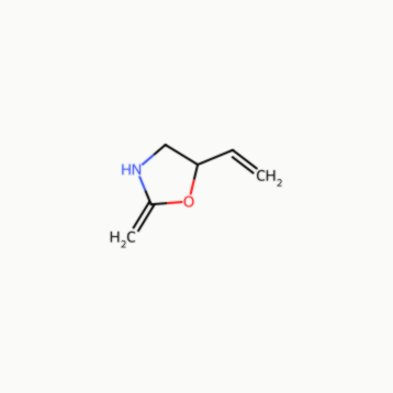 C=CC1CNC(=C)O1